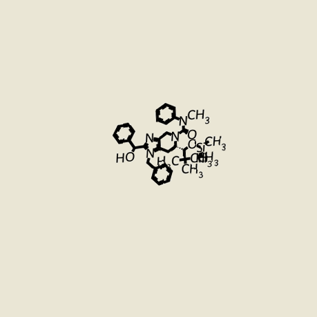 CN(C(=O)N1Cc2nc(C(O)c3ccccc3)n(Cc3ccccc3)c2C[C@H]1C(O[SiH](C)C)C(C)(C)C)c1ccccc1